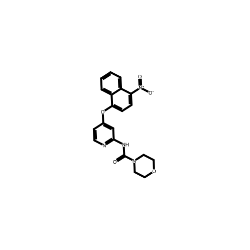 O=C(Nc1cc(Oc2ccc([N+](=O)[O-])c3ccccc23)ccn1)N1CCOCC1